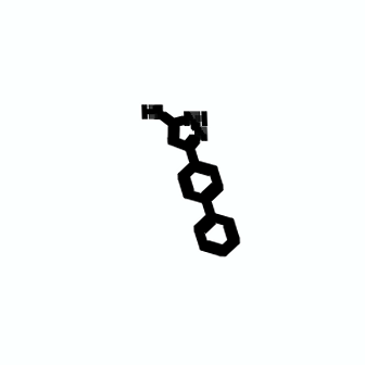 Sc1cc(-c2ccc(-c3ccccc3)cc2)n[nH]1